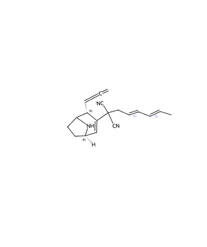 C=C=C[C@@H]1C(C(C#N)(C#N)C/C=C/C=C/C)=C[C@H]2CCC1N2